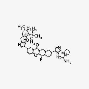 CC(C)CN(Cc1ncc(-c2ccc3oc4c(F)c5ccc(-c6cnc([C@@H]7CCCN7C(N)=O)[nH]6)cc5cc4c(=O)c3c2)[nH]1)C(=O)NC(C)(C)C